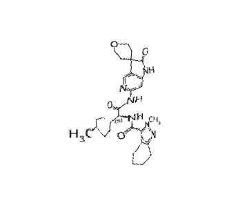 Cn1nc2c(c1C(=O)N[C@H](C(=O)Nc1cc3c(cn1)C1(CCOCC1)C(=O)N3)[C@H]1CC[C@H](C)CC1)CCCC2